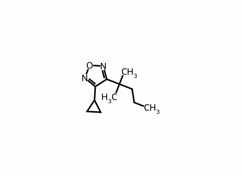 CCCC(C)(C)c1nonc1C1CC1